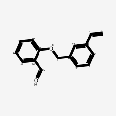 C=Cc1cccc(COc2ccccc2C=O)c1